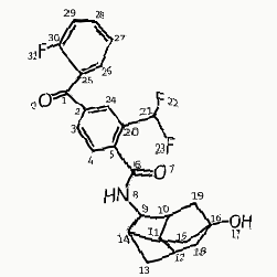 O=C(c1ccc(C(=O)NC2C3CC4CC2CC(O)(C4)C3)c(C(F)F)c1)c1ccccc1F